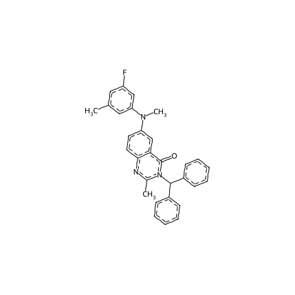 Cc1cc(F)cc(N(C)c2ccc3nc(C)n(C(c4ccccc4)c4ccccc4)c(=O)c3c2)c1